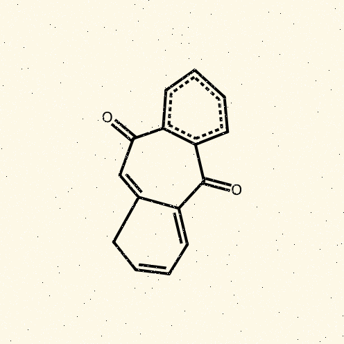 O=C1C=C2CC=CC=C2C(=O)c2ccccc21